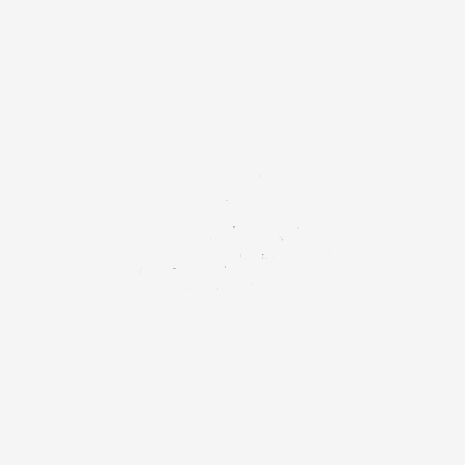 Cc1ccc(S(=O)(=O)OC(C(C)O)C2CCCCO2)cc1